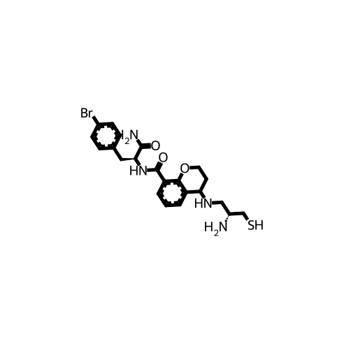 NC(=O)[C@H](Cc1ccc(Br)cc1)NC(=O)c1cccc2c1OCCC2NC[C@@H](N)CS